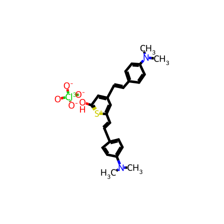 CN(C)c1ccc(C=Cc2cc(O)[s+]c(C=Cc3ccc(N(C)C)cc3)c2)cc1.[O-][Cl+3]([O-])([O-])[O-]